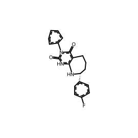 O=c1[nH]c2c(c(=O)n1-c1ccccc1)CCC[C@H](c1ccc(F)cc1)N2